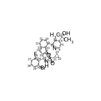 CC(C)(O)c1ccnc(-c2cccc3cc(C(NS(=O)(=O)C4CC4)c4c(F)cccc4Br)sc23)c1